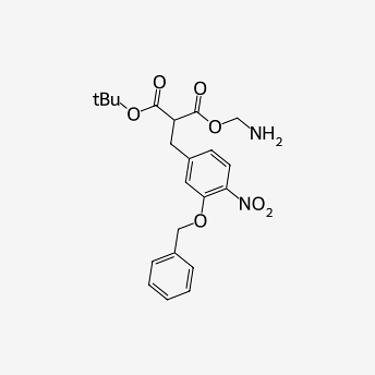 CC(C)(C)OC(=O)C(Cc1ccc([N+](=O)[O-])c(OCc2ccccc2)c1)C(=O)OCN